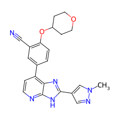 Cn1cc(-c2nc3c(-c4ccc(OC5CCOCC5)c(C#N)c4)ccnc3[nH]2)cn1